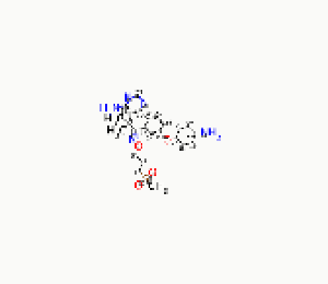 CC1(C)/C(=N/OCCCS(C)(=O)=O)c2cc(O[C@H]3CC[C@@H](N)CC3)ccc2-c2ncnc(N)c21